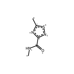 CNC(=O)c1nsc(C)n1